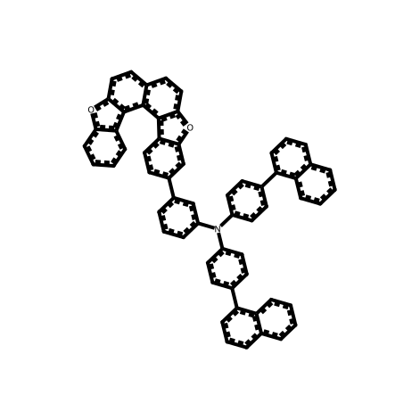 c1cc(-c2ccc3c(c2)oc2ccc4ccc5oc6ccccc6c5c4c23)cc(N(c2ccc(-c3cccc4ccccc34)cc2)c2ccc(-c3cccc4ccccc34)cc2)c1